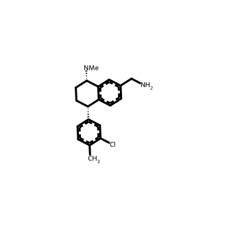 CN[C@H]1CC[C@@H](c2ccc(C)c(Cl)c2)c2ccc(CN)cc21